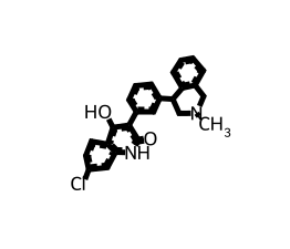 CN1Cc2ccccc2C(c2cccc(-c3c(O)c4ccc(Cl)cc4[nH]c3=O)c2)C1